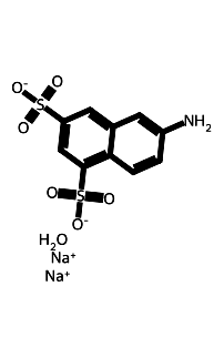 Nc1ccc2c(S(=O)(=O)[O-])cc(S(=O)(=O)[O-])cc2c1.O.[Na+].[Na+]